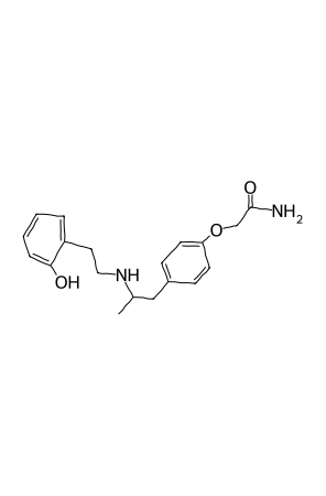 CC(Cc1ccc(OCC(N)=O)cc1)NCCc1ccccc1O